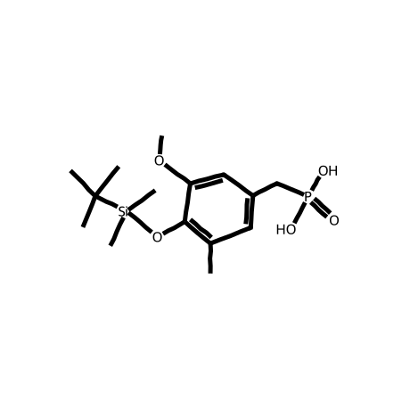 COc1cc(CP(=O)(O)O)cc(C)c1O[Si](C)(C)C(C)(C)C